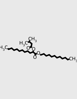 CCCCCCCCCCCCOC(=O)C(CCCCCCCCCC)OC(=O)CC(C)C